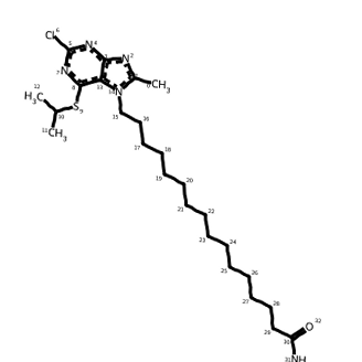 Cc1nc2nc(Cl)nc(SC(C)C)c2n1CCCCCCCCCCCCCCCC(N)=O